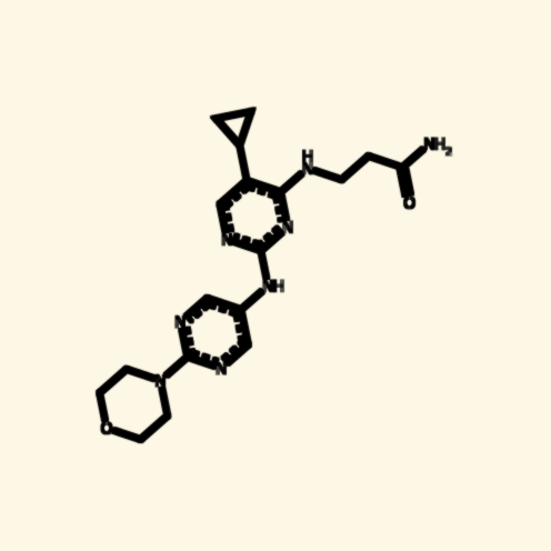 NC(=O)CCNc1nc(Nc2cnc(N3CCOCC3)nc2)ncc1C1CC1